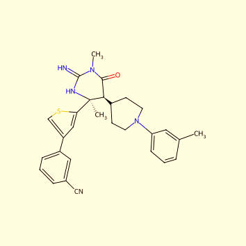 Cc1cccc(N2CCC([C@@H]3C(=O)N(C)C(=N)N[C@]3(C)c3cc(-c4cccc(C#N)c4)cs3)CC2)c1